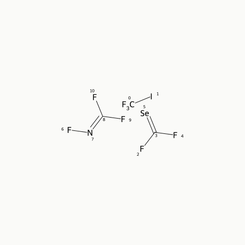 FC(F)(F)I.FC(F)=[Se].FN=C(F)F